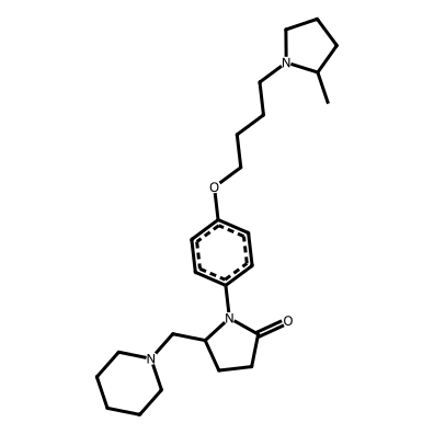 CC1CCCN1CCCCOc1ccc(N2C(=O)CCC2CN2CCCCC2)cc1